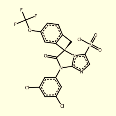 O=C1N(c2cc(Cl)cc(Cl)c2)c2ncc(S(=O)(=O)Cl)n2[C@]12Cc1ccc(OC(F)(F)F)cc12